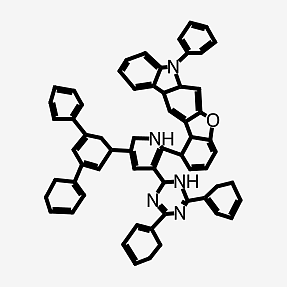 C1=CCCC(C2=CC(C3=CC(C4N=C(C5=CC=CCC5)N=C(C5=CC=CCC5)N4)=C(C4C=CC=C5OC6=CC7C(C=C6C54)c4ccccc4N7c4ccccc4)NC3)CC(c3ccccc3)=C2)=C1